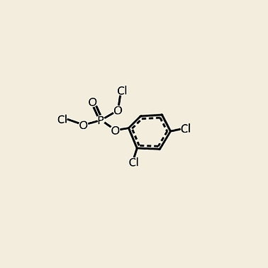 O=P(OCl)(OCl)Oc1ccc(Cl)cc1Cl